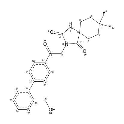 O=C(CN1C(=O)NC2(CCC(F)(F)CC2)C1=O)c1ccc(-c2cccnc2CO)nc1